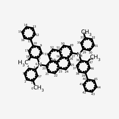 Cc1cccc(N(c2ccc(-c3ccccc3)cc2C)c2ccc3ccc4c(N(c5cccc(C)c5)c5ccc(-c6ccccc6)cc5C)ccc5ccc2c3c54)c1